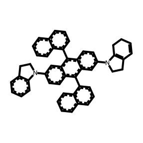 C1=CC2=C(CC1)N(c1ccc3c(-c4cccc5ccccc45)c4cc(N5CCc6ccccc65)ccc4c(-c4cccc5ccccc45)c3c1)CC2